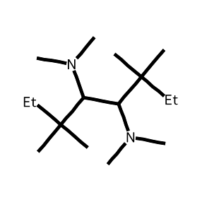 CCC(C)(C)C(C(N(C)C)C(C)(C)CC)N(C)C